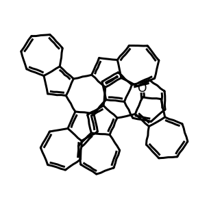 O=C1CC2=CC=CC=CC2=C1c1c2cccccc-2cc1-c1c2cccccc-2cc1-c1c2cccccc-2cc1-c1c2cccccc-2cc1-c1ccc2cccccc1-2